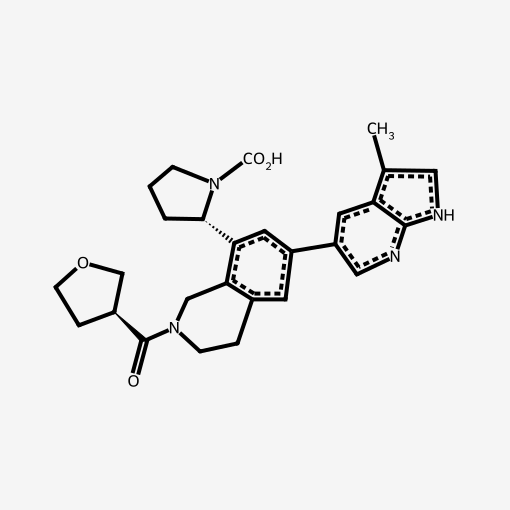 Cc1c[nH]c2ncc(-c3cc4c(c([C@@H]5CCCN5C(=O)O)c3)CN(C(=O)[C@H]3CCOC3)CC4)cc12